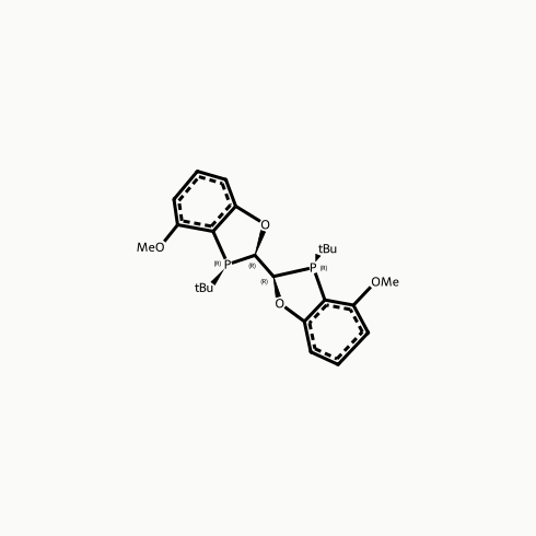 COc1cccc2c1[P@](C(C)(C)C)[C@H]([C@@H]1Oc3cccc(OC)c3[P@]1C(C)(C)C)O2